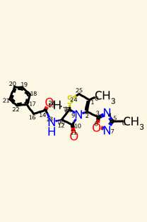 CC1=C(c2nc(C)no2)N2C(=O)[C@@H](NC(=O)Cc3ccccc3)[C@H]2SC1